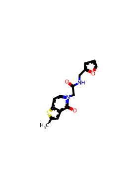 Cc1cc2c(=O)n(CC(=O)NCc3ccco3)ccc2s1